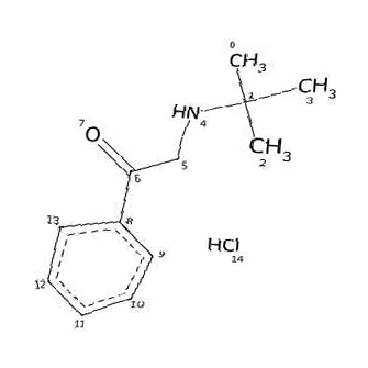 CC(C)(C)NCC(=O)c1ccccc1.Cl